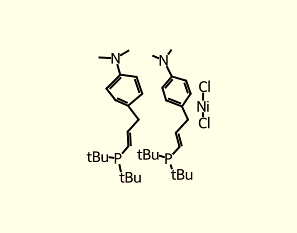 CN(C)c1ccc(CC=CP(C(C)(C)C)C(C)(C)C)cc1.CN(C)c1ccc(CC=CP(C(C)(C)C)C(C)(C)C)cc1.[Cl][Ni][Cl]